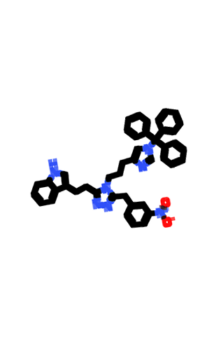 O=[N+]([O-])c1cccc(Cc2nnc(CCc3c[nH]c4ccccc34)n2CCCc2cn(C(c3ccccc3)(c3ccccc3)c3ccccc3)cn2)c1